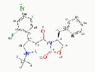 CC(C)(C)N1CC(C(=O)N2C(=O)OC[C@@H]2Cc2ccccc2)C(c2ccc(Br)cc2F)C1